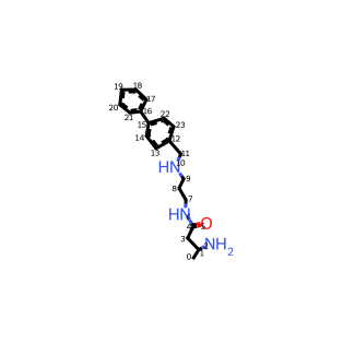 CC(N)CC(=O)NCCCNCc1ccc(-c2ccccc2)cc1